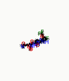 COC(=O)NC(CCC=CC(=O)N(C)C)C(=O)Nc1cccn(Cc2nc3c(OCC(F)F)cc(F)cc3[nH]2)c1=O